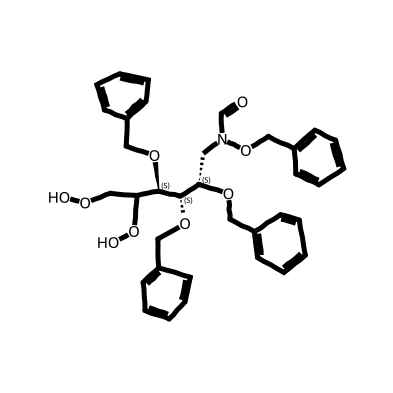 O=CN(C[C@H](OCc1ccccc1)[C@H](OCc1ccccc1)[C@H](OCc1ccccc1)C(COO)OO)OCc1ccccc1